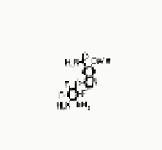 Bc1c(N)c(F)c(F)c(Oc2ccnc3cc(OC)c(C(N)=O)cc23)c1F